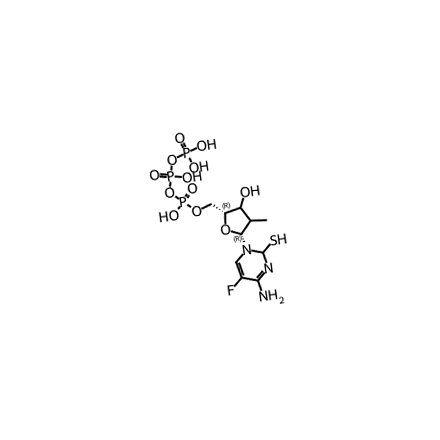 CC1C(O)[C@@H](COP(=O)(O)OP(=O)(O)OP(=O)(O)O)O[C@H]1N1C=C(F)C(N)=NC1S